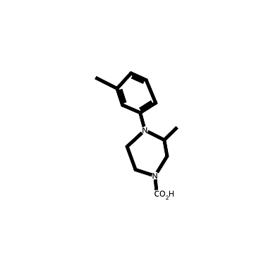 Cc1cccc(N2CCN(C(=O)O)CC2C)c1